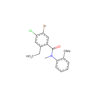 COc1ccccc1N(C)C(=O)c1cc(Br)c(Cl)cc1CC(=O)O